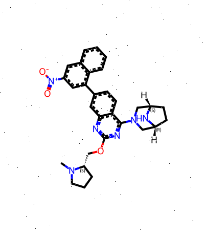 CN1CCC[C@H]1COc1nc(N2C[C@H]3CC[C@@H](C2)N3)c2ccc(-c3cc([N+](=O)[O-])cc4ccccc34)cc2n1